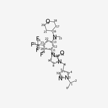 CC(C)n1cc(Cn2ccn(-c3cc(N(C)C4CCOCC4)cc(C(F)(F)F)c3F)c2=O)cn1